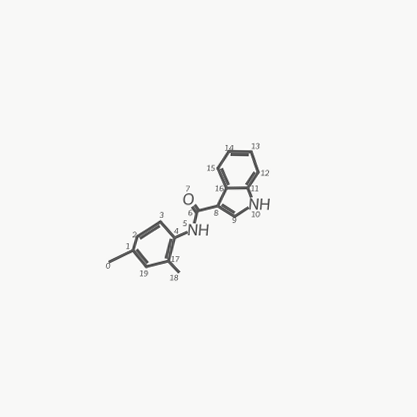 Cc1ccc(NC(=O)c2c[nH]c3ccccc23)c(C)c1